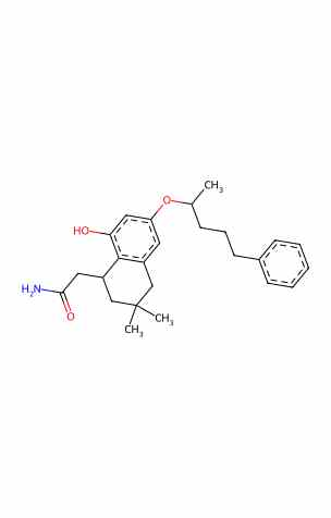 CC(CCCc1ccccc1)Oc1cc(O)c2c(c1)CC(C)(C)CC2CC(N)=O